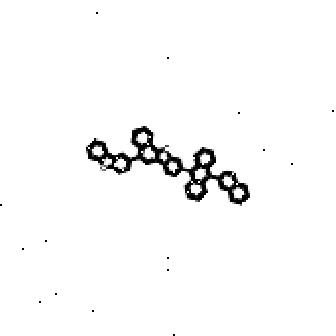 c1ccc2cc(-c3c4ccccc4c(-c4ccc5c(c4)oc4c6ccccc6c(-c6ccc7oc8ccccc8c7c6)cc54)c4ccccc34)ccc2c1